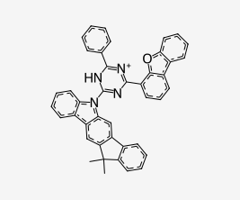 CC1(C)c2ccccc2-c2cc3c(cc21)c1ccccc1n3C1=NC(c2cccc3c2oc2ccccc23)=[N+]=C(c2ccccc2)N1